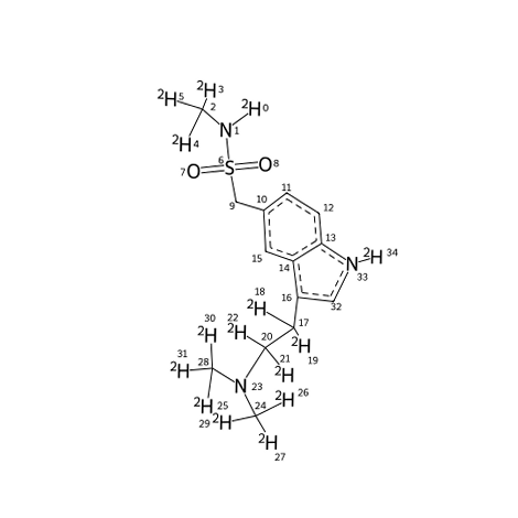 [2H]N(C([2H])([2H])[2H])S(=O)(=O)Cc1ccc2c(c1)c(C([2H])([2H])C([2H])([2H])N(C([2H])([2H])[2H])C([2H])([2H])[2H])cn2[2H]